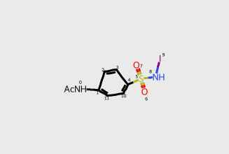 CC(=O)Nc1ccc(S(=O)(=O)NI)cc1